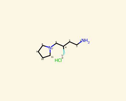 Cl.NCCC(F)CN1CCCC1